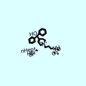 Br.CCCCCCCC.CS(=O)(=O)NCCC[N+]12CCC(C(O)(c3ccccc3)c3ccccc3)(CC1)CC2.[Br-]